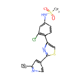 CC(C)(C)c1cc(-c2nc(-c3ccc(NS(=O)(=O)C(F)(F)F)cc3Cl)cs2)ccn1